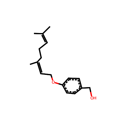 CC(C)=CCCC(C)=CCOc1ccc(CO)cc1